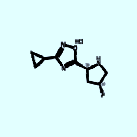 Cl.F[C@@H]1CN[C@H](c2nc(C3CC3)no2)C1